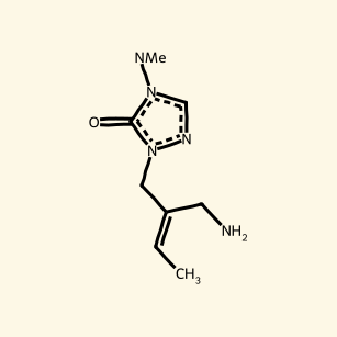 C/C=C(\CN)Cn1ncn(NC)c1=O